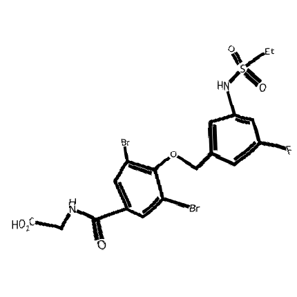 CCS(=O)(=O)Nc1cc(F)cc(COc2c(Br)cc(C(=O)NCC(=O)O)cc2Br)c1